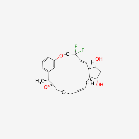 C[C@@H]1C(=O)CCC/C=C\C[C@@H]2[C@@H](/C=C/C(F)(F)COc3cccc1c3)[C@H](O)C[C@@H]2O